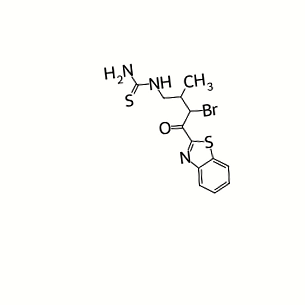 CC(CNC(N)=S)C(Br)C(=O)c1nc2ccccc2s1